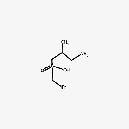 CC(C)CP(=O)(O)CC(C)CN